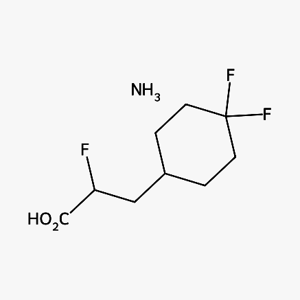 N.O=C(O)C(F)CC1CCC(F)(F)CC1